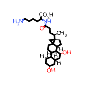 C[C@H](CCC(=O)NC(CCCCN)C(=O)O)[C@]12CC[C@H]3[C@@H]4[C@H](O)C[C@@H]5C[C@H](O)CCC5(C)[C@H]4CCC31C2